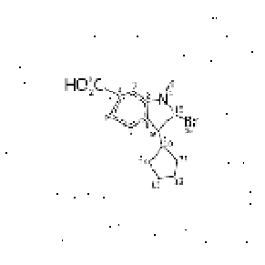 CN1c2cc(C(=O)O)ccc2C(C2CCCC2)C1Br